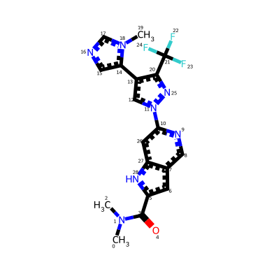 CN(C)C(=O)c1cc2cnc(-n3cc(-c4cncn4C)c(C(F)(F)F)n3)cc2[nH]1